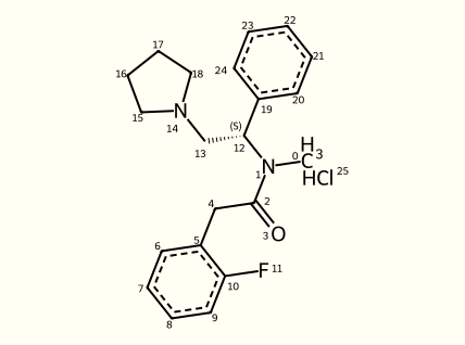 CN(C(=O)Cc1ccccc1F)[C@H](CN1CCCC1)c1ccccc1.Cl